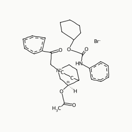 CC(=O)O[C@H]1C[N+]2(CC(=O)c3ccccc3)CCC1CC2.O=C(Nc1ccccc1)OC1CCCCC1.[Br-]